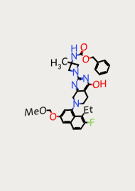 CCc1c(F)ccc2cc(OCOC)cc(N3CCc4c(O)nc(N5CC(C)(NC(=O)OCc6ccccc6)C5)nc4C3)c12